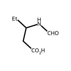 CCC(CC(=O)O)NC=O